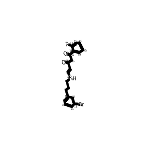 O=C(C=CNCCCc1cccc(Br)c1)CC(=O)c1ccccc1F